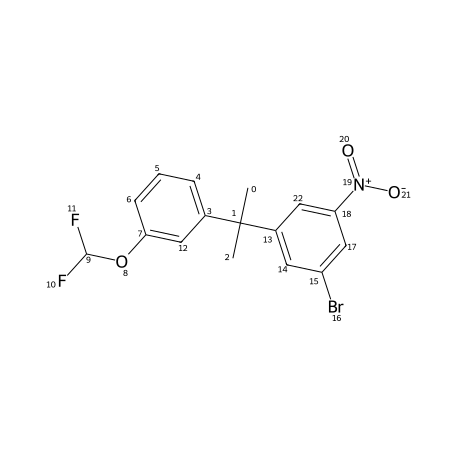 CC(C)(c1cccc(OC(F)F)c1)c1cc(Br)cc([N+](=O)[O-])c1